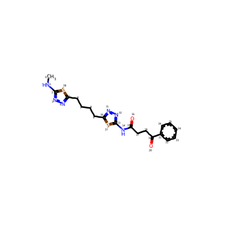 CNc1nnc(CCCCc2nnc(NC(=O)CCC(=O)c3ccccc3)s2)s1